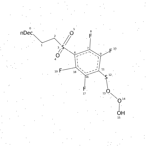 CCCCCCCCCCCCS(=O)(=O)c1c(F)c(F)c(SOOO)c(F)c1F